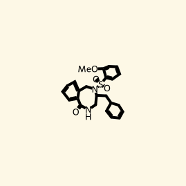 COc1ccccc1S(=O)(=O)N1Cc2ccccc2C(=O)NCC1CC1C=CC=CC1